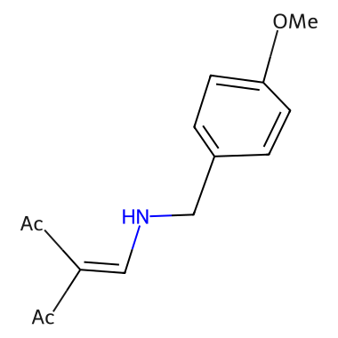 COc1ccc(CNC=C(C(C)=O)C(C)=O)cc1